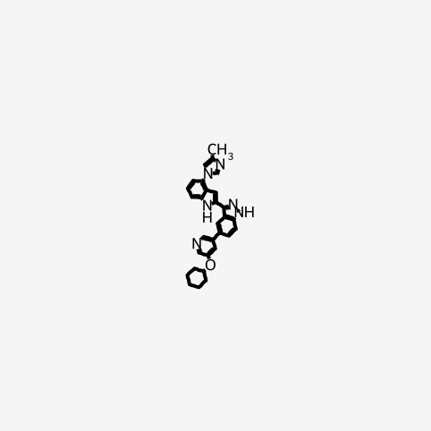 Cc1cn(-c2cccc3[nH]c(-c4n[nH]c5ccc(-c6cncc(OC7CCCCC7)c6)cc45)cc23)cn1